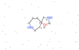 C1CNCCC2(C1)CNCO2